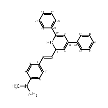 CN(C)c1ccc(/C=C/C2C=C(c3ccccc3)C=C(c3ccccc3)O2)cc1